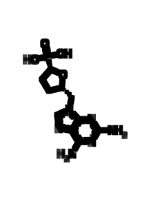 Nc1nc(N)c2ncn(C[C@@H]3CC[C@@H](P(=O)(O)O)O3)c2n1